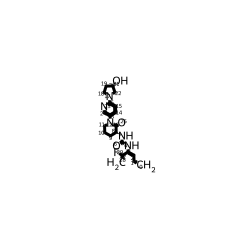 C=C/C=C(/NC(=O)N[C@@H]1CCCN(c2ccc(N3CC[C@@H](O)C3)nc2)C1=O)C(=C)F